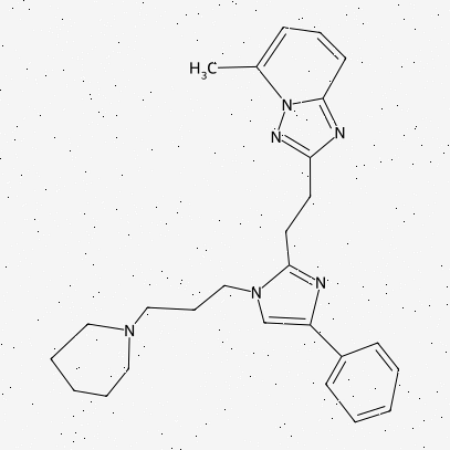 Cc1cccc2nc(CCc3nc(-c4ccccc4)cn3CCCN3CCCCC3)nn12